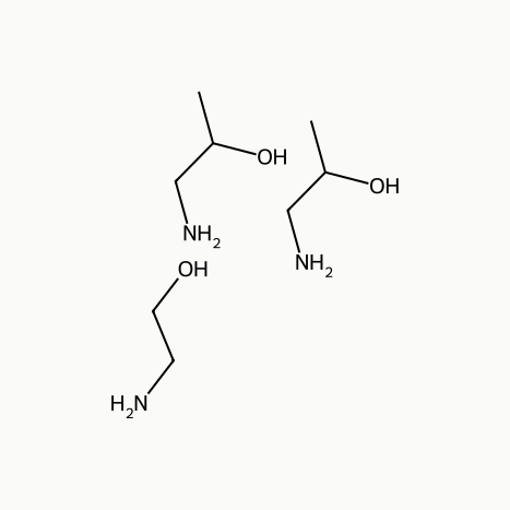 CC(O)CN.CC(O)CN.NCCO